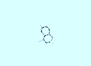 Cc1c[n+]([O-])cc2ccc(Br)cc12